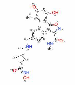 CCNC(=O)c1noc(-c2cc(C(C)C)c(O)cc2O)c1-c1ccc(CNCC2CC(C(=O)NO)C2)cc1